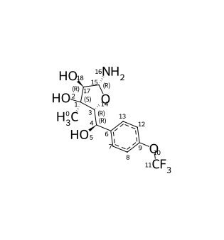 C[C@@]1(O)[C@@H]([C@H](O)c2ccc(OC(F)(F)F)cc2)O[C@@H](N)[C@@H]1O